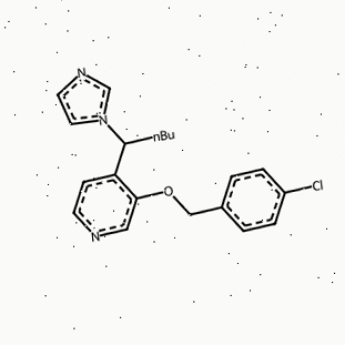 CCCCC(c1ccncc1OCc1ccc(Cl)cc1)n1ccnc1